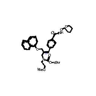 COCCN(C/C(=C/c1ccc(C(=O)NOC2CCCCO2)cc1)COc1cccc2ccccc12)C(=O)OC(C)(C)C